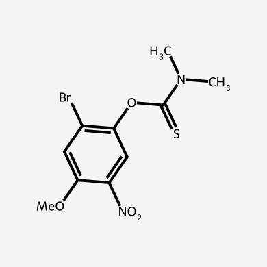 COc1cc(Br)c(OC(=S)N(C)C)cc1[N+](=O)[O-]